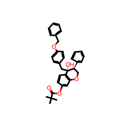 CC(C)(C)C(=O)Oc1ccc2c(c1)OC[C@H](c1ccccc1)[C@]2(O)Cc1ccc(OCc2ccccc2)cc1